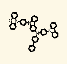 c1ccc(-c2ccc(N(c3ccc(-n4c5ccccc5c5ccccc54)cc3)c3ccc4c(c3)c3ccccc3n4-c3ccc(N4c5ccccc5Oc5ccccc54)cc3)cc2)cc1